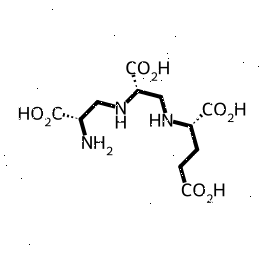 N[C@@H](CN[C@@H](CN[C@@H](CCC(=O)O)C(=O)O)C(=O)O)C(=O)O